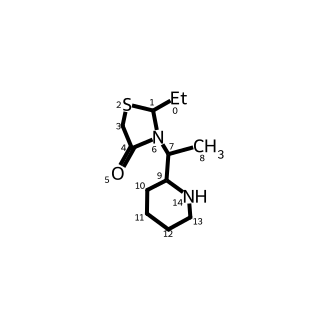 CCC1SCC(=O)N1C(C)C1CCCCN1